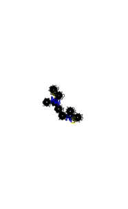 c1ccc(-c2cc(-c3ccc(-c4cccc(-c5nc6sc7ccccc7c6c6ccccc56)c4)cc3)nc(-c3cccc4c3sc3ccccc34)n2)cc1